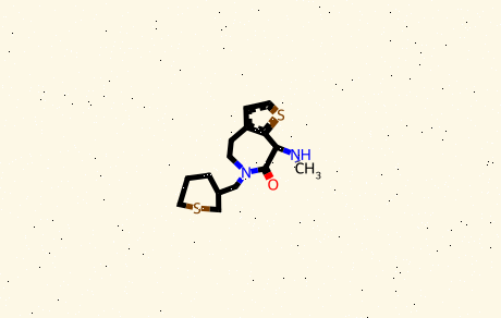 CNC1C(=O)N(CC2CCCSC2)CCc2ccsc21